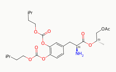 CC(=O)OC[C@H](C)OC(=O)[C@@H](N)Cc1ccc(OC(=O)OCCC(C)C)c(OC(=O)OCCC(C)C)c1